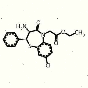 CCOC(=O)CN1C(=O)[C@H](N)[C@H](c2ccccc2)Sc2cc(Cl)ccc21